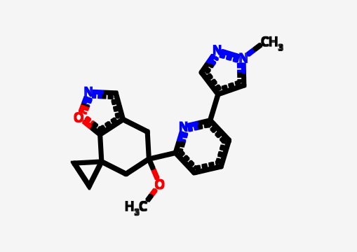 COC1(c2cccc(-c3cnn(C)c3)n2)Cc2cnoc2C2(CC2)C1